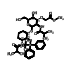 COC(=O)CO[C@@H]1C(NC(=O)C(C)C)C(O[C@H]2CCC[C@@H](NC(=O)C(C)C)[C@@H]2O[Si](c2ccccc2)(c2ccccc2)C(C)(C)C)OC(CO)[C@H]1O